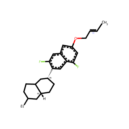 C/C=C/COc1cc(F)c2cc([C@@H]3CC[C@@H]4CC(CC)CCC4C3)c(F)cc2c1